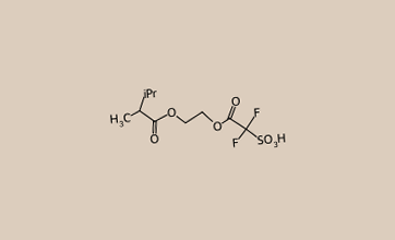 CC(C)C(C)C(=O)OCCOC(=O)C(F)(F)S(=O)(=O)O